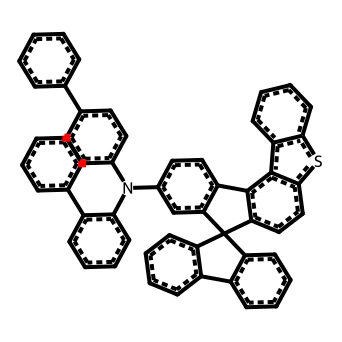 c1ccc(-c2ccc(N(c3ccc4c(c3)C3(c5ccccc5-c5ccccc53)c3ccc5sc6ccccc6c5c3-4)c3ccccc3-c3ccccc3)cc2)cc1